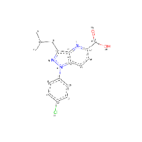 CC(C)Cc1nn(-c2ccc(Cl)cc2)c2ccc(C(=O)O)nc12